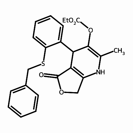 CCOC(=O)OC1=C(C)NC2=C(C(=O)OC2)C1c1ccccc1SCc1ccccc1